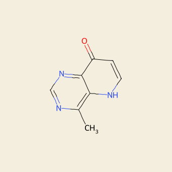 Cc1ncnc2c(=O)cc[nH]c12